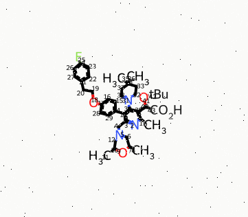 Cc1nc(CN2CC(C)OC(C)C2)c(-c2ccc(OCCc3ccc(F)cc3)cc2)c(N2CCC(C)(C)CC2)c1C(OC(C)(C)C)C(=O)O